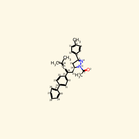 CC(=O)N1N=C(c2ccc(C)cc2)C[C@@H]1CC(=C=C(C)C)c1ccc(-c2ccccc2)cc1